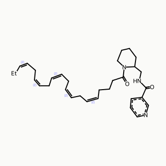 CC/C=C\C/C=C\C/C=C\C/C=C\C/C=C\CCCC(=O)N1CCCCC1CNC(=O)c1cccnc1